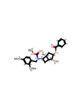 COc1ccc(CN(C(=O)OC(C)(C)C)[C@@H]2CC3[C@@H](O)[C@H](SC(=O)c4ccccc4)C[C@@H]32)c(OC)c1